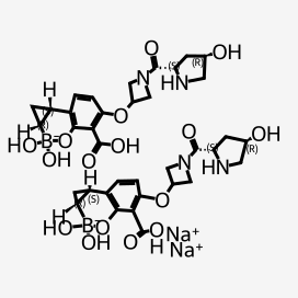 O=C(O)c1c(OC2CN(C(=O)[C@@H]3C[C@@H](O)CN3)C2)ccc2c1O[B-](O)(O)[C@@H]1C[C@H]21.O=C(O)c1c(OC2CN(C(=O)[C@@H]3C[C@@H](O)CN3)C2)ccc2c1O[B-](O)(O)[C@@H]1C[C@H]21.[Na+].[Na+]